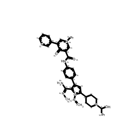 C=Nn1c(C2CCN(C(O)C(C)C)CC2)cc(-c2ccc(NC(=O)c3cn(C(C)C)cc(-c4cccnc4)c3=O)cc2)c1/C(N)=N\C